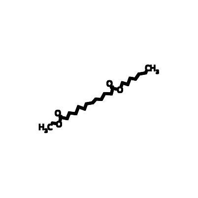 CCCCCCCOC(=O)CCCCCCCCCCCC(=O)OCC